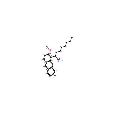 CCCCCCCC(N)c1c(N=O)ccc2cc3ccccc3cc12